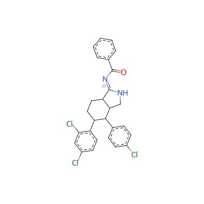 O=C(/N=C1\NCC2C1CCC(c1ccc(Cl)cc1Cl)C2c1ccc(Cl)cc1)c1ccccc1